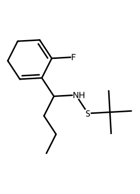 CCCC(NSC(C)(C)C)C1=CCCC=C1F